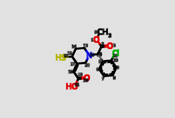 COC(=O)[C@H](c1ccccc1Cl)N1CCC(S)C(=CC(=O)O)C1